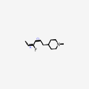 C/C=C(F)\C=C/CC1CCN(C)CC1